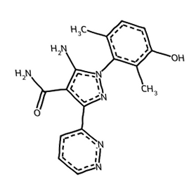 Cc1ccc(O)c(C)c1-n1nc(-c2cccnn2)c(C(N)=O)c1N